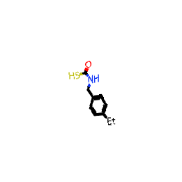 CCc1ccc(CNC(=O)S)cc1